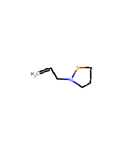 C=CCN1CC[CH]S1